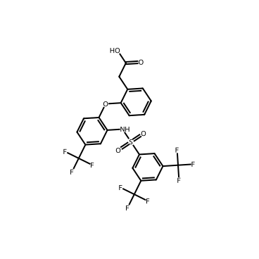 O=C(O)Cc1ccccc1Oc1ccc(C(F)(F)F)cc1NS(=O)(=O)c1cc(C(F)(F)F)cc(C(F)(F)F)c1